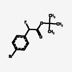 CC(C)(C)OC(=O)C(F)c1ccc(Br)cc1